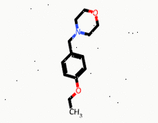 CCOc1ccc(CN2CCOCC2)cc1